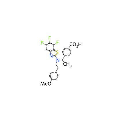 COc1ccc(CCN(c2nc3cc(F)c(F)c(F)c3s2)C(C)c2ccc(C(=O)O)cc2)cc1